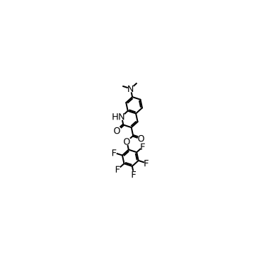 CN(C)c1ccc2cc(C(=O)Oc3c(F)c(F)c(F)c(F)c3F)c(=O)[nH]c2c1